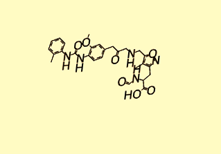 COc1cc(CC(=O)CNCc2onc(CC(NC=O)C(=O)O)c2C)ccc1NC(=O)Nc1ccccc1C